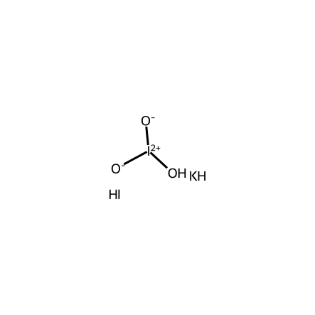 I.[KH].[O-][I+2]([O-])O